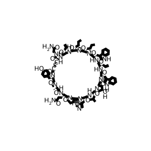 C=CC[C@@H]1NC(=O)[C@H](Cc2c[nH]c3ccccc23)NC(=O)C2C[C@@H](O)CN2C(=O)[C@H](CC(C)C)NC(=O)[C@H](Cc2cnc[nH]2)NC(=O)[C@@H]2CCCN2C(=O)[C@H](CCC(N)=O)NC(=O)[C@H](C)N(C)C(=O)[C@H](Cc2ccc(O)cc2)NC(=O)CSC[C@@H](C(=O)NCC(N)=O)NC(=O)[C@H](CC=C)NC(=O)[C@H](CCCC)N(C)C(=O)[C@H](CCCC)N(C)C(=O)[C@H](Cc2c[nH]c3ccccc23)NC1=O